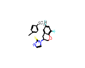 Cc1ccc(S(=O)(=O)O)cc1.Fc1cc(F)c2c(c1)CC(N1C=C[N]C1=S)CO2